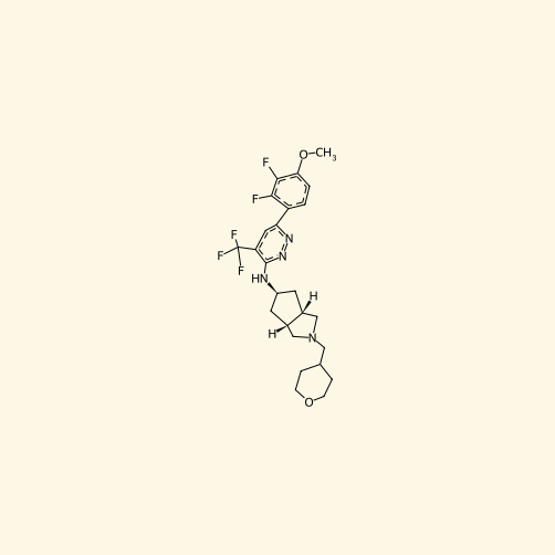 COc1ccc(-c2cc(C(F)(F)F)c(N[C@H]3C[C@@H]4CN(CC5CCOCC5)C[C@@H]4C3)nn2)c(F)c1F